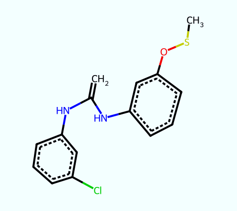 C=C(Nc1cccc(Cl)c1)Nc1cccc(OSC)c1